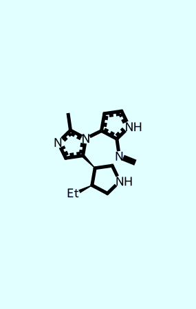 C=Nc1[nH]ccc1-n1c([C@H]2CNC[C@H]2CC)cnc1C